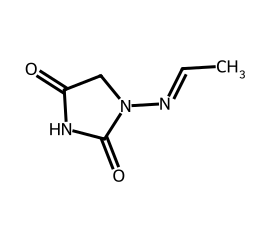 C/C=N/N1CC(=O)NC1=O